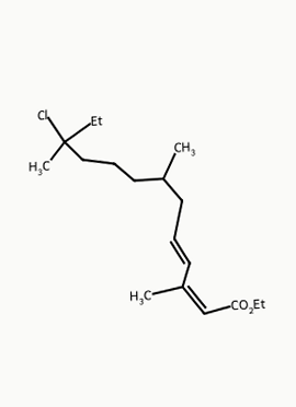 CCOC(=O)C=C(C)C=CCC(C)CCCC(C)(Cl)CC